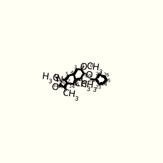 CO[C@@H]1C=C2C=C3C(=C(C)C(=O)N3C)C[C@]2(C)[C@@H](C)[C@H]1OCc1ccccc1